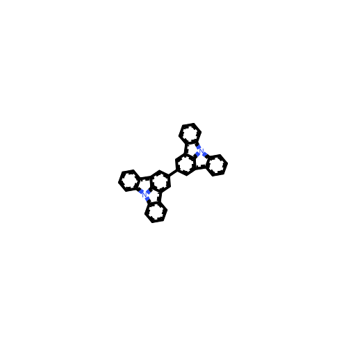 c1ccc2c(c1)c1cc(-c3cc4c5ccccc5n5c6ccccc6c(c3)c45)cc3c4ccccc4n2c13